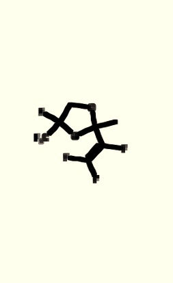 CC1(C(F)=C(F)F)OCC(F)(C(F)(F)F)O1